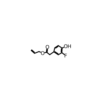 C=CCOC(=O)Cc1ccc(O)c(F)c1